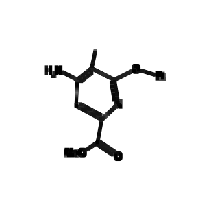 CCOc1nc(C(=O)OC)cc(N)c1C